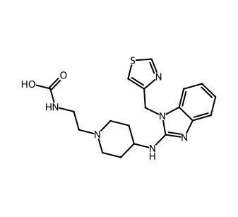 O=C(O)NCCN1CCC(Nc2nc3ccccc3n2Cc2cscn2)CC1